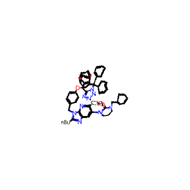 CCCCc1nc2cc(N3CCCN(Cc4ccccc4)C3=O)c(C)nc2n1Cc1ccc(OC(c2ccccc2)c2nnnn2C(c2ccccc2)(c2ccccc2)c2ccccc2)cc1